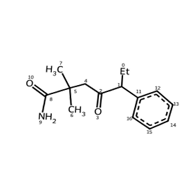 CCC(C(=O)CC(C)(C)C(N)=O)c1ccccc1